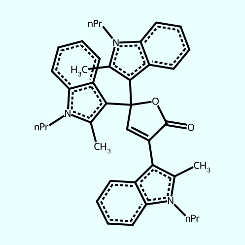 CCCn1c(C)c(C2=CC(c3c(C)n(CCC)c4ccccc34)(c3c(C)n(CCC)c4ccccc34)OC2=O)c2ccccc21